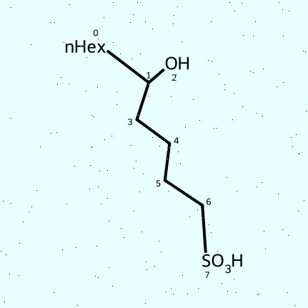 CCCCCCC(O)CCCCS(=O)(=O)O